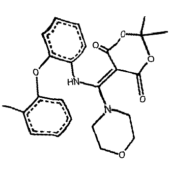 Cc1ccccc1Oc1ccccc1NC(=C1C(=O)OC(C)(C)OC1=O)N1CCOCC1